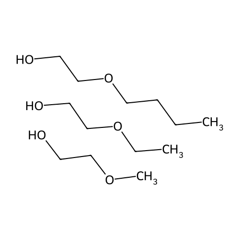 CCCCOCCO.CCOCCO.COCCO